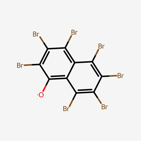 [O]c1c(Br)c(Br)c(Br)c2c(Br)c(Br)c(Br)c(Br)c12